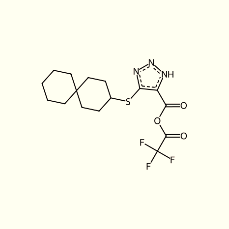 O=C(OC(=O)C(F)(F)F)c1[nH]nnc1SC1CCC2(CCCCC2)CC1